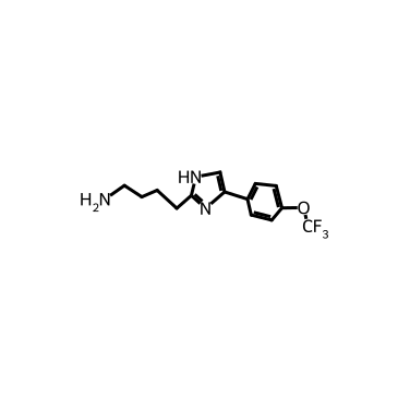 NCCCCc1nc(-c2ccc(OC(F)(F)F)cc2)c[nH]1